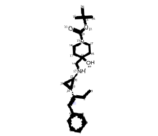 CC/C(=C\c1ccccc1)[C@@H]1C[C@H]1NCC1(O)CCN(C(=O)OC(C)(C)C)CC1